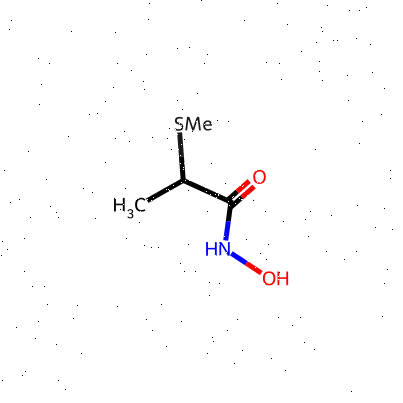 CSC(C)C(=O)NO